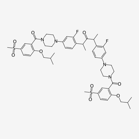 CC(C)COc1ccc(S(C)(=O)=O)cc1C(=O)N1CCN(c2ccc(C(C)C(=O)C(C)c3ccc(N4CCN(C(=O)c5cc(S(C)(=O)=O)ccc5OCC(C)C)CC4)cc3F)c(F)c2)CC1